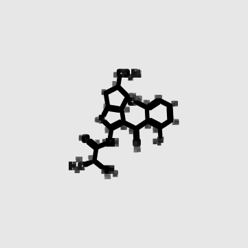 CCOC(=O)C1Cc2sc(NC(=O)[C@H](C)N)c(C(=O)c3c(F)cccc3Cl)c2C1